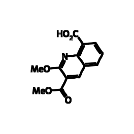 COC(=O)c1cc2cccc(C(=O)O)c2nc1OC